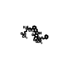 CCC1(OC(=O)OCc2ccccc2)C(=O)OCC2=C1CC1=C(C2=O)N2Cc3c(cccc3CC[Si](C)(C)CCCOC(C)=O)C=C2N1